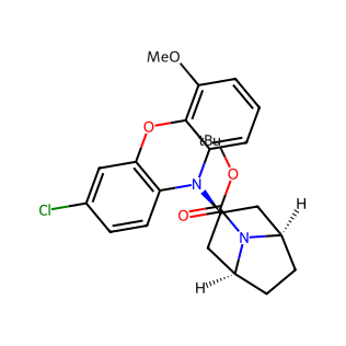 COc1cccc2c1Oc1cc(Cl)ccc1N2[C@H]1C[C@H]2CC[C@@H](C1)N2C(=O)OC(C)(C)C